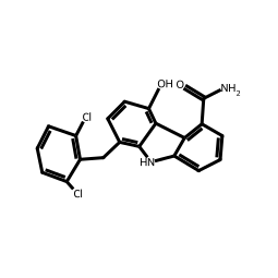 NC(=O)c1cccc2[nH]c3c(Cc4c(Cl)cccc4Cl)ccc(O)c3c12